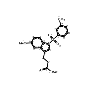 COC(=O)CCc1cn(S(=O)(=O)c2cccc(OC)c2)c2ccc(OC)cc12